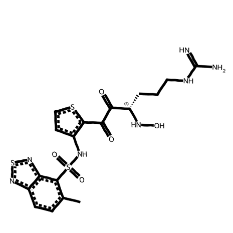 Cc1ccc2nsnc2c1S(=O)(=O)Nc1ccsc1C(=O)C(=O)[C@H](CCCNC(=N)N)NO